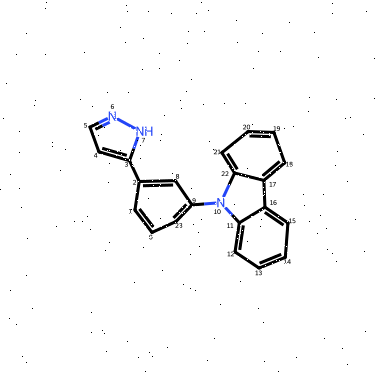 c1cc(-c2ccn[nH]2)cc(-n2c3ccccc3c3ccccc32)c1